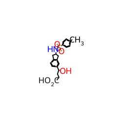 Cc1ccc(S(=O)(=O)NC2Cc3ccc(C(O)CCC(=O)O)cc3C2)cc1